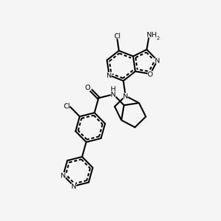 Nc1noc2c(N3CC4CCC3C4NC(=O)c3ccc(-c4ccnnc4)cc3Cl)ncc(Cl)c12